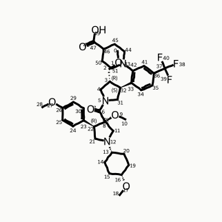 COC[C@H]1CN(C(=O)[C@]2(OC)CN([C@H]3CC[C@@H](OC)CC3)C[C@H]2c2ccc(OC)cc2)C[C@@H]1c1ccc(C(F)(F)F)cc1N1CCC(C(=O)O)CC1